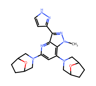 Cn1nc(-c2cc[nH]n2)c2nc(N3CC4CCC(C3)O4)cc(N3CC4CCC(C3)O4)c21